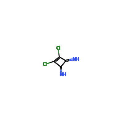 N=c1c(Cl)c(Cl)c1=N